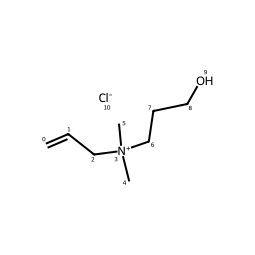 C=CC[N+](C)(C)CCCO.[Cl-]